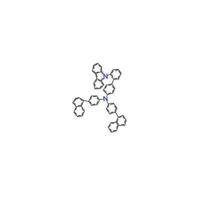 c1ccc(-n2c3ccccc3c3ccccc32)c(-c2ccc(N(c3ccc(-c4cccc5ccccc45)cc3)c3ccc(-c4cccc5ccccc45)cc3)cc2)c1